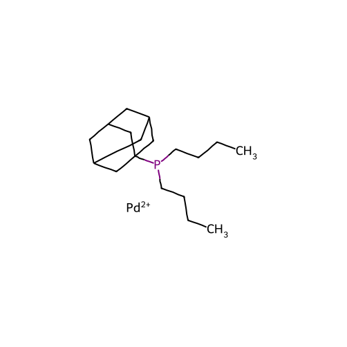 CCCCP(CCCC)C12CC3CC(CC(C3)C1)C2.[Pd+2]